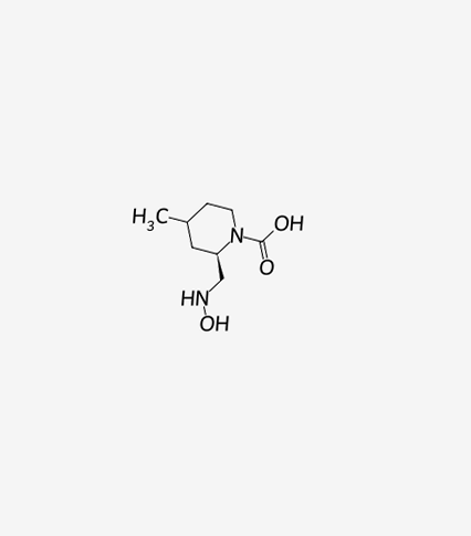 CC1CCN(C(=O)O)[C@@H](CNO)C1